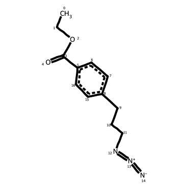 CCOC(=O)c1ccc(CCCN=[N+]=[N-])cc1